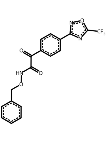 O=C(NOCc1ccccc1)C(=O)c1ccc(-c2noc(C(F)(F)F)n2)cc1